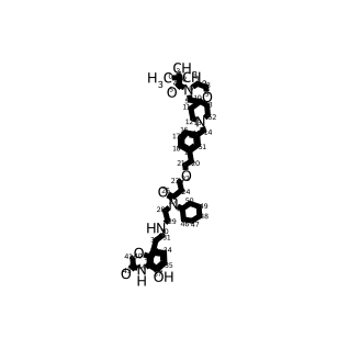 CC(C)(C)C(=O)N1CCOC2(CCN(Cc3cccc(CCOCCC(=O)N(CCNCCc4ccc(O)c5c4OCC(=O)N5)C4CCCCC4)c3)CC2)C1